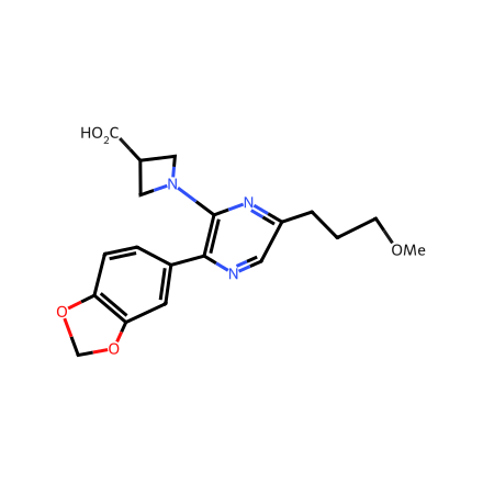 COCCCc1cnc(-c2ccc3c(c2)OCO3)c(N2CC(C(=O)O)C2)n1